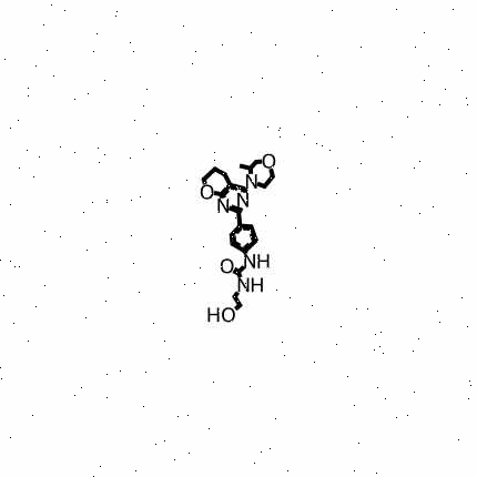 CC1COCCN1c1nc(-c2ccc(NC(=O)NCCO)cc2)nc2c1CCCO2